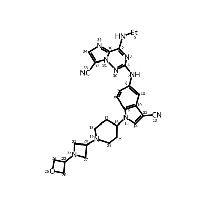 CCNc1nc(Nc2ccc3c(c2)c(C#N)cn3C2CCN(C3CN(C4COC4)C3)CC2)nn2c(C#N)cnc12